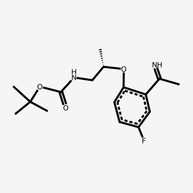 CC(=N)c1cc(F)ccc1O[C@@H](C)CNC(=O)OC(C)(C)C